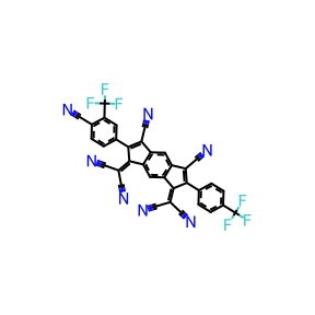 N#CC(C#N)=C1C(c2ccc(C(F)(F)F)cc2)=C(C#N)c2cc3c(cc21)C(=C(C#N)C#N)C(c1ccc(C#N)c(C(F)(F)F)c1)=C3C#N